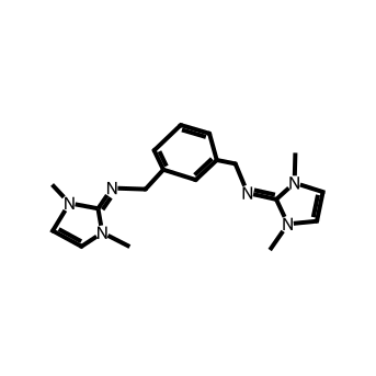 Cn1ccn(C)c1=NCc1cccc(CN=c2n(C)ccn2C)c1